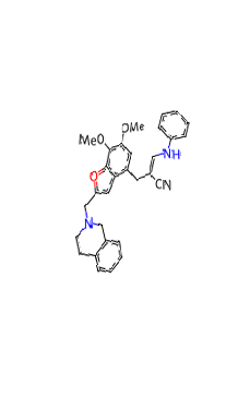 COc1cc(CC(C#N)=CNc2ccccc2)c2cc(CN3CCc4ccccc4C3)oc2c1OC